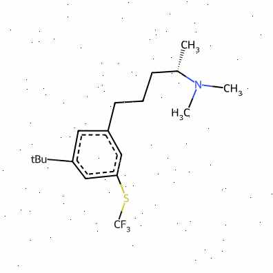 C[C@@H](CCCc1cc(SC(F)(F)F)cc(C(C)(C)C)c1)N(C)C